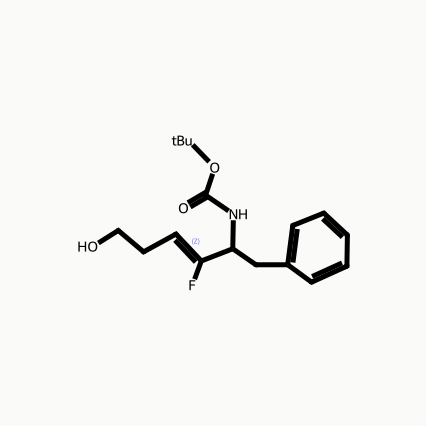 CC(C)(C)OC(=O)NC(Cc1ccccc1)/C(F)=C/CCO